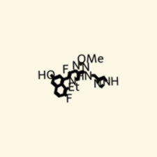 CCc1c(F)ccc2cc(O)cc(-c3ncc4c(NCc5c[nH]cn5)nc(OC)nc4c3F)c12